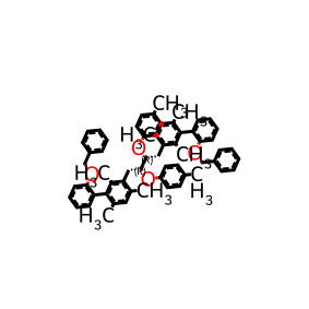 Cc1ccc(O[C@H](Cc2c(C)cc(C)c(-c3ccccc3OCc3ccccc3)c2C)[C@@H](Cc2c(C)cc(C)c(-c3ccccc3OCc3ccccc3)c2C)Oc2ccc(C)cc2)cc1